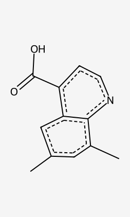 Cc1cc(C)c2nccc(C(=O)O)c2c1